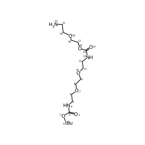 CC(C)(C)OC(=O)NCCOCCOCCNC(=O)OCCOCCN